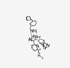 Cc1cccc(-c2nc(CNCc3cccc(Cl)c3)[nH]c2-c2ccc3ncnn3c2)n1